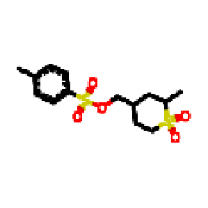 Cc1ccc(S(=O)(=O)OCC2CCS(=O)(=O)C(C)C2)cc1